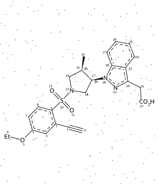 C#Cc1cc(OCC)ccc1S(=O)(=O)N1C[C@@H](C)[C@@H](n2nc(CC(=O)O)c3ccccc32)C1